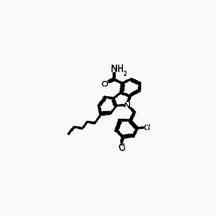 CCCCCc1c[c]c2c3c(C(N)=O)cccc3n(Cc3ccc(Cl)cc3Cl)c2c1